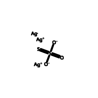 O=S([O-])([O-])=S.[Ag+].[Ag+].[Ag]